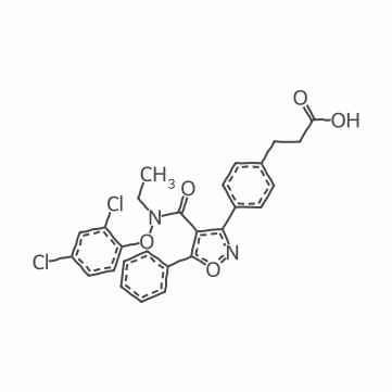 CCN(Oc1ccc(Cl)cc1Cl)C(=O)c1c(-c2ccc(CCC(=O)O)cc2)noc1-c1ccccc1